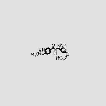 CN(C)Cc1ccc(C(=O)Nc2n[nH]c3sc(OC(=O)O)cc23)cc1